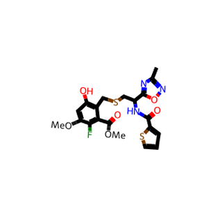 COC(=O)c1c(F)c(OC)cc(O)c1CSCC(NC(=O)c1cccs1)c1nc(C)no1